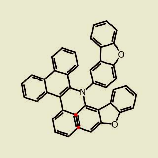 c1ccc(-c2c(N(c3ccc4oc5ccccc5c4c3)c3cccc4oc5ccccc5c34)c3ccccc3c3ccccc23)cc1